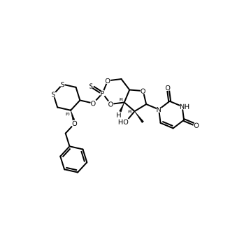 C[C@]1(O)C(n2ccc(=O)[nH]c2=O)OC2COP(=S)(OC3CSSC[C@@H]3OCc3ccccc3)O[C@H]21